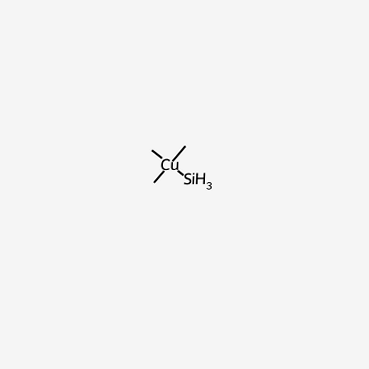 [CH3][Cu]([CH3])([CH3])[SiH3]